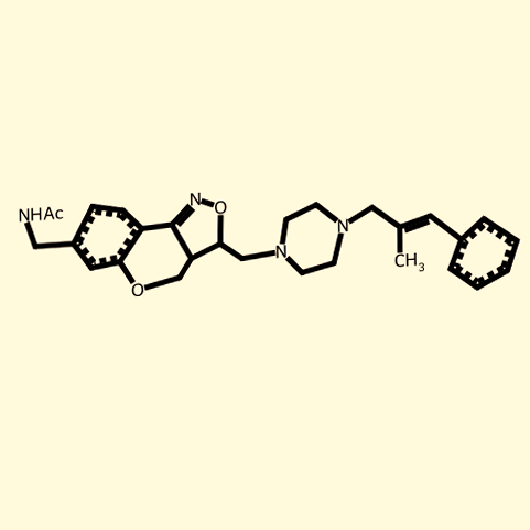 CC(=O)NCc1ccc2c(c1)OCC1C2=NOC1CN1CCN(C/C(C)=C/c2ccccc2)CC1